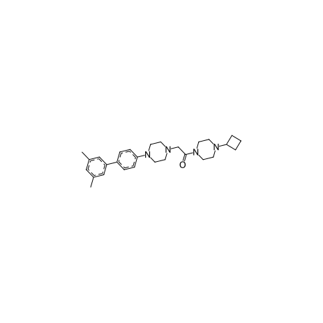 Cc1cc(C)cc(-c2ccc(N3CCN(CC(=O)N4CCN(C5CCC5)CC4)CC3)cc2)c1